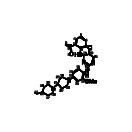 C=P(=O)c1ccccc1NC1N=C(Nc2ccc(N3CCC(N4CCC(C)CC4)CC3)cc2OC)N=CC1Cl